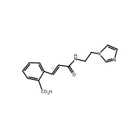 O=C(/C=C/c1ccccc1C(=O)O)NCCn1ccnc1